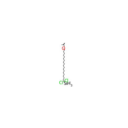 C=C(C)COCCCCCCCCCCCCCCCCCCC([SiH3])(Cl)Cl